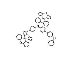 c1ccc2c(c1)Oc1ccccc1C21c2ccccc2-c2c(-c3ccc(N(c4ccc(-c5ccc6oc7ccccc7c6c5)cc4)c4cccc5c4-c4ccccc4C54c5ccccc5Oc5ccccc54)cc3)cccc21